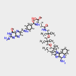 CCCCc1nc2c(N)nc3ccccc3c2n1CC(C)(C)COCC(C)(C)COC(C)(C)CNC(=O)CC[C@H](NC(=O)c1ccc(NCc2cnc3nc(N)[nH]c(=O)c3n2)cc1)C(=O)O